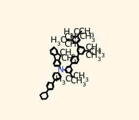 CC(C)(C)c1cc(-c2ccc(-c3cc(N(c4ccc(-c5ccc(C6CCCCC6)cc5)cc4)c4ccc5c(c4)C(C)(C)c4ccccc4-5)cc(C(C)(C)C)c3)cc2)cc(-c2cc(C(C)(C)C)cc(C(C)(C)C)c2)c1